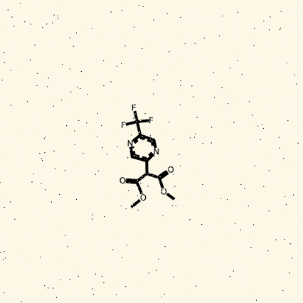 COC(=O)C(C(=O)OC)c1cnc(C(F)(F)F)cn1